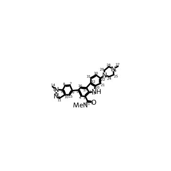 CNC(=O)c1cc(-c2ccc3c(cnn3C)c2)cc2c1[nH]c1cc(N3CCN(C)CC3)ccc12